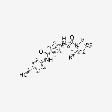 C#Cc1ccc(NC(=O)C23CCC(NCC(=O)N4C[C@@H](F)C[C@H]4C#N)(CC2)CC3)cc1